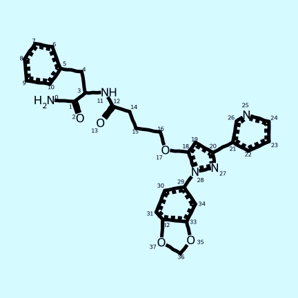 NC(=O)C(Cc1ccccc1)NC(=O)CCCOc1cc(-c2cccnc2)nn1-c1ccc2c(c1)OCO2